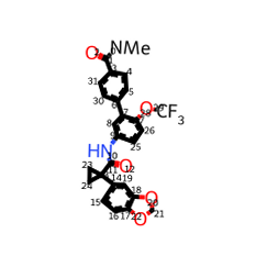 CNC(=O)c1ccc(-c2cc(NC(=O)C3(c4ccc5c(c4)OCO5)CC3)ccc2OC(F)(F)F)cc1